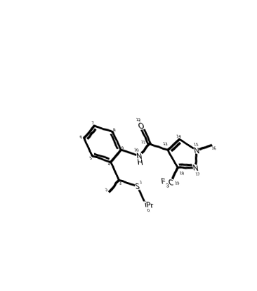 CC(C)SC(C)c1ccccc1NC(=O)c1cn(C)nc1C(F)(F)F